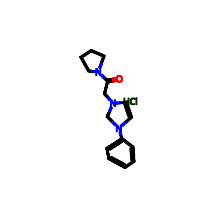 Cl.O=C(CN1C=CN(c2ccccc2)C1)N1CCCC1